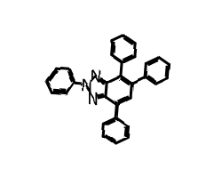 c1ccc(-c2cc(-c3ccccc3)c3nn(-c4ccccc4)nc3c2-c2ccccc2)cc1